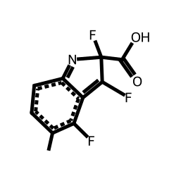 Cc1ccc2c(c1F)=C(F)C(F)(C(=O)O)N=2